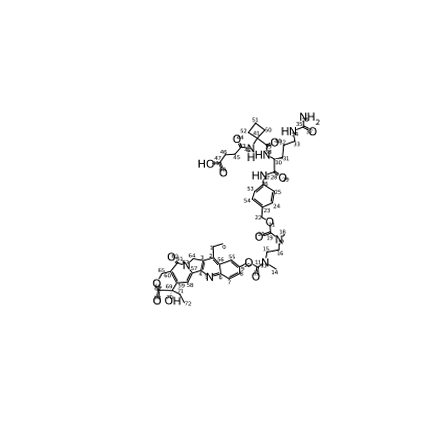 CCc1c2c(nc3ccc(OC(=O)N(C)CCN(C)C(=O)OCc4ccc(NC(=O)[C@H](CCCNC(N)=O)NC(=O)C5(NC(=O)CCC(=O)O)CCC5)cc4)cc13)-c1cc3c(c(=O)n1C2)COC(=O)[C@]3(O)CC